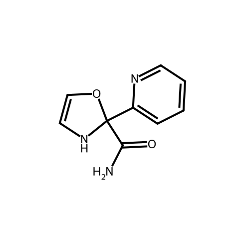 NC(=O)C1(c2ccccn2)NC=CO1